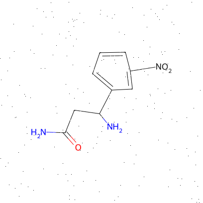 NC(=O)CC(N)c1cccc([N+](=O)[O-])c1